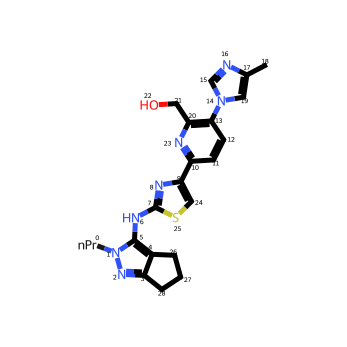 CCCn1nc2c(c1Nc1nc(-c3ccc(-n4cnc(C)c4)c(CO)n3)cs1)CCC2